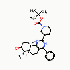 C[C@H]1C(=O)CC[C@@]2(C)c3nc(C4=CCCN(C(=O)OC(C)(C)C)C4)nc(-c4ccccc4)c3CC[C@H]12